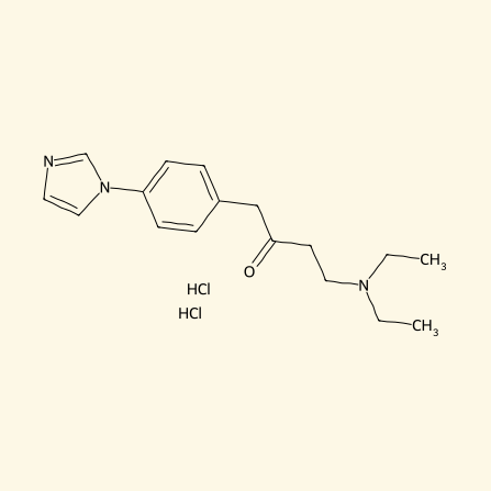 CCN(CC)CCC(=O)Cc1ccc(-n2ccnc2)cc1.Cl.Cl